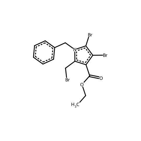 CCOC(=O)c1c(Br)c(Br)n(Cc2ccccc2)c1CBr